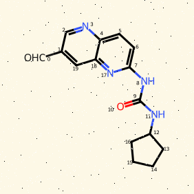 O=Cc1cnc2ccc(NC(=O)NC3CCCC3)nc2c1